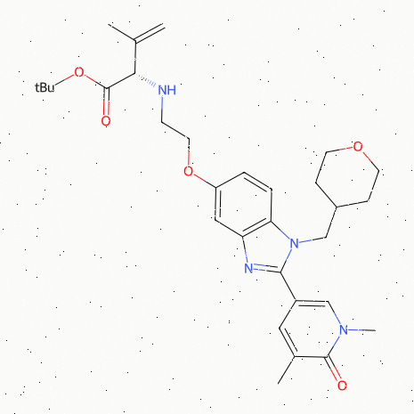 C=C(C)[C@H](NCCOc1ccc2c(c1)nc(-c1cc(C)c(=O)n(C)c1)n2CC1CCOCC1)C(=O)OC(C)(C)C